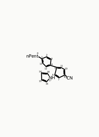 CCCCCc1ccc(-c2ccc(C#N)cc2)cc1.c1cc[nH]c1